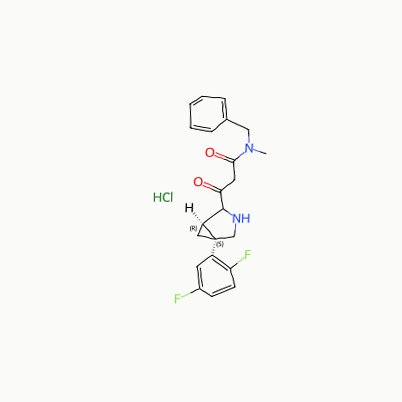 CN(Cc1ccccc1)C(=O)CC(=O)C1NC[C@@]2(c3cc(F)ccc3F)C[C@@H]12.Cl